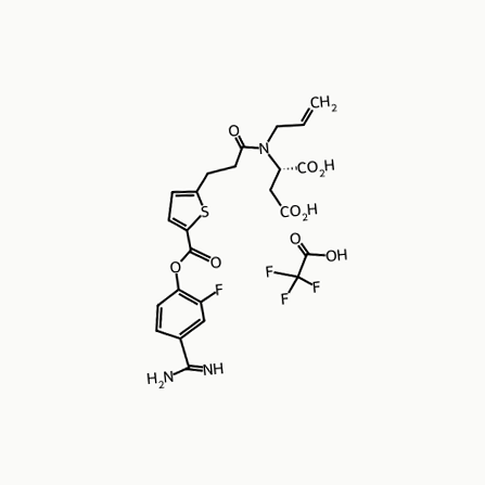 C=CCN(C(=O)CCc1ccc(C(=O)Oc2ccc(C(=N)N)cc2F)s1)[C@@H](CC(=O)O)C(=O)O.O=C(O)C(F)(F)F